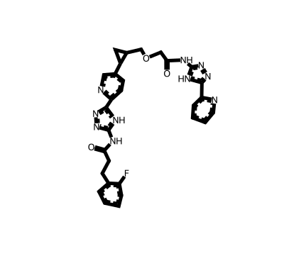 O=C(CCc1ccccc1F)Nc1nnc(-c2ccc(C3CC3COCC(=O)Nc3nnc(-c4ccccn4)[nH]3)cn2)[nH]1